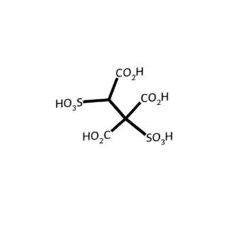 O=C(O)C(C(C(=O)O)(C(=O)O)S(=O)(=O)O)S(=O)(=O)O